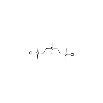 C[Si](C)(Cl)CC[Si](C)(C)CC[Si](C)(C)Cl